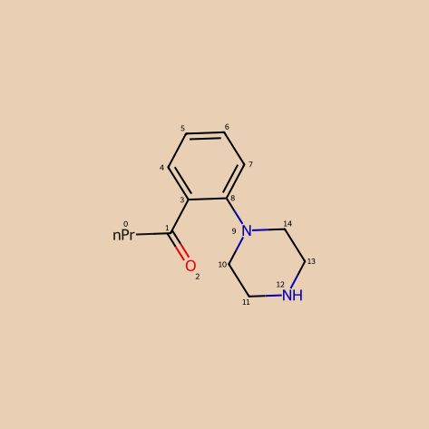 CCCC(=O)c1ccccc1N1CCNCC1